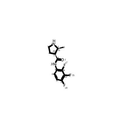 C[C@@H]1NCC[C@@H]1C(=O)Nc1ccc(F)c(F)c1F